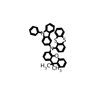 CC1(C)c2ccccc2Oc2c(N(c3ccc4c(c3)c3ccccc3n4-c3ccccc3)c3cccc4c3Sc3ccccc3S4)cccc21